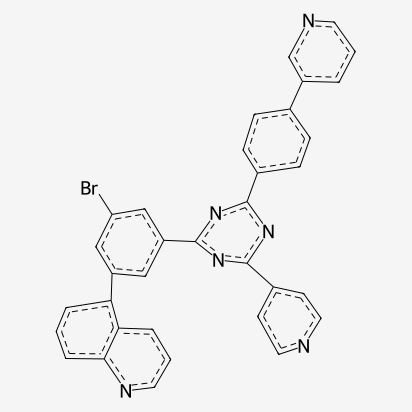 Brc1cc(-c2nc(-c3ccncc3)nc(-c3ccc(-c4cccnc4)cc3)n2)cc(-c2cccc3ncccc23)c1